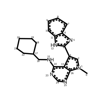 Cn1cc(-c2nc3ccccc3[nH]2)c2c(NCC3CCCCC3)ncnc21